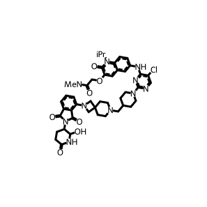 CNC(=O)COc1cc2cc(Nc3nc(N4CCC(CN5CCC6(CC5)CN(c5cccc7c5C(=O)N(C5CCC(=O)NC5O)C7=O)C6)CC4)ncc3Cl)ccc2n(C(C)C)c1=O